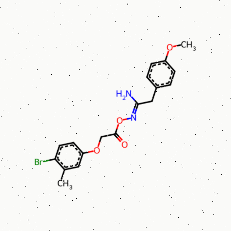 COc1ccc(C/C(N)=N/OC(=O)COc2ccc(Br)c(C)c2)cc1